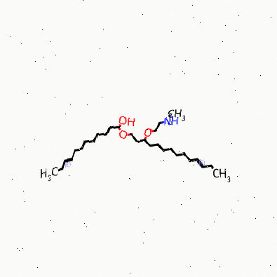 CC/C=C/CCCCCCCC(O)OCCC(CCCCCCC/C=C/CC)OCCNC